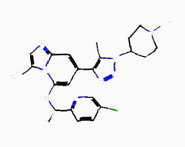 Cc1c(-c2cc(N[C@H](C)c3ccc(F)cn3)n3c(C#N)cnc3c2)nnn1C1CCN(C#N)CC1